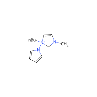 CCCC[N+]1(n2cccc2)C=CN(C)C1